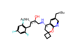 CC(=O)N[C@@H](Cc1c(F)cc(F)cc1F)[C@@H](O)CN[C@H]1CC2(CCC2)Oc2ncc(CC(C)(C)C)cc21